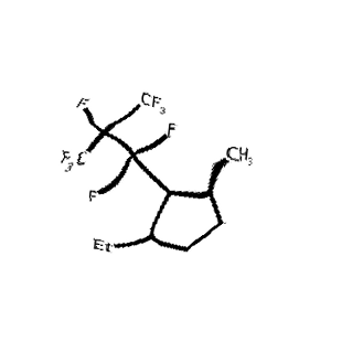 [CH2]CC1C[CH]C(C)C1C(F)(F)C(F)(C(F)(F)F)C(F)(F)F